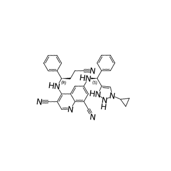 N#CCC[C@@H](Nc1c(C#N)cnc2c(C#N)cc(N[C@H](C3=CN(C4CC4)NN3)c3ccccc3)cc12)c1ccccc1